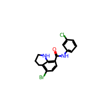 O=C(Nc1cccc(Cl)c1)c1ccc(Br)c2c1NCCC2